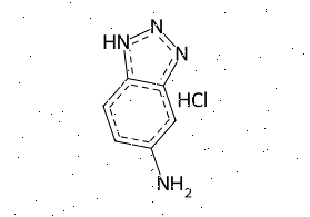 Cl.Nc1ccc2[nH]nnc2c1